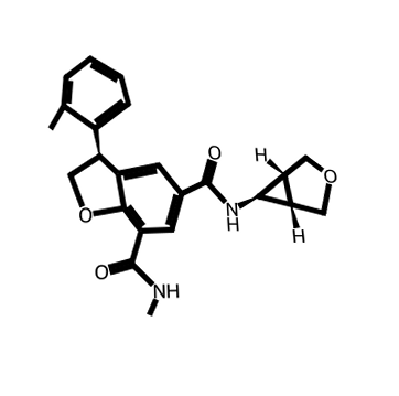 CNC(=O)c1cc(C(=O)N[C@H]2[C@@H]3COC[C@@H]32)cc2c1OC[C@H]2c1ccccc1C